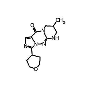 CC1CNc2nn3c(C4CCOCC4)ncc3c(=O)n2C1